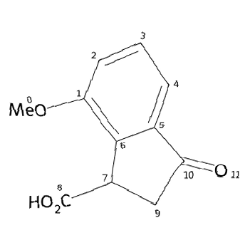 COc1cccc2c1C(C(=O)O)CC2=O